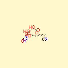 C/C(=C\C=C\C(C)c1ccccn1)[C@H]1OC(=O)C[C@@H](O)CC[C@](C)(O)[C@@H](OC(=O)N2CC[N+](C)([O-])CC2)/C=C/[C@@H]1C